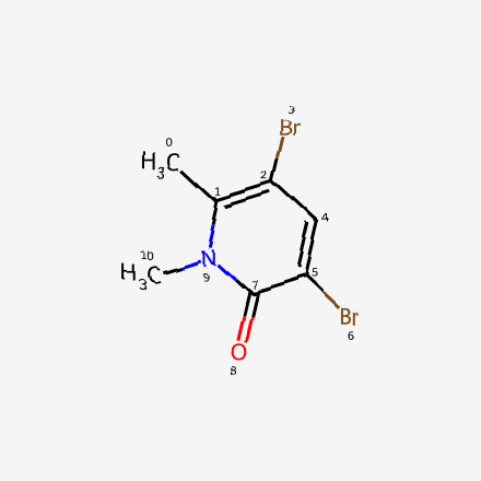 Cc1c(Br)cc(Br)c(=O)n1C